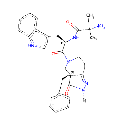 CCN1N=C2CCN(C(=O)[C@@H](Cc3c[nH]c4ccccc34)NC(=O)C(C)(C)N)C[C@@]2(Cc2ccccc2)C1=O